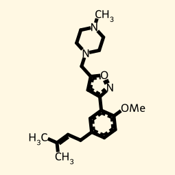 COc1ccc(CC=C(C)C)cc1-c1cc(CN2CCN(C)CC2)on1